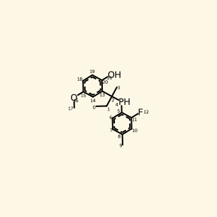 CCC(C)(Pc1ccc(C)cc1F)c1cc(OC)ccc1O